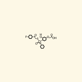 O=C(O)COc1ccc([C@@H]2[C@@H](SCC(=O)c3ccc(F)cc3)C(=O)N2c2ccccc2)c(O)c1